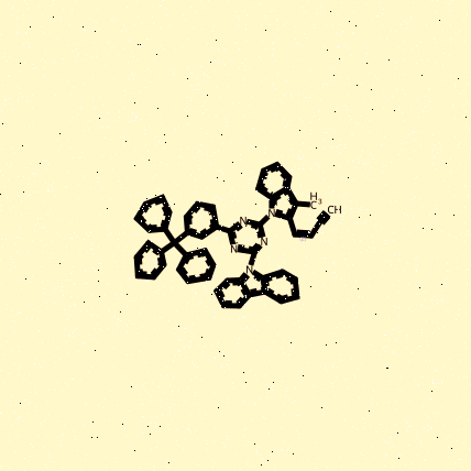 C#C/C=C\c1c(C)c2ccccc2n1-c1nc(-c2cccc(C(c3ccccc3)(c3ccccc3)c3ccccc3)c2)nc(-n2c3ccccc3c3ccccc32)n1